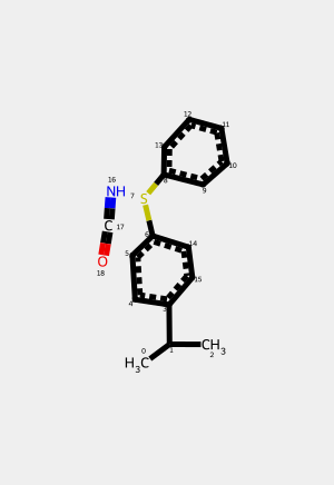 CC(C)c1ccc(Sc2ccccc2)cc1.N=C=O